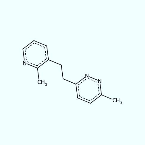 Cc1ccc(CCc2cccnc2C)nn1